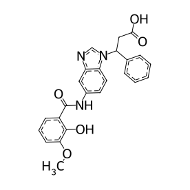 COc1cccc(C(=O)Nc2ccc3c(c2)ncn3C(CC(=O)O)c2ccccc2)c1O